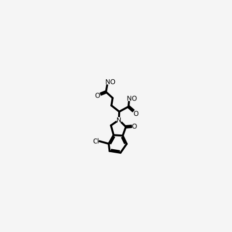 O=NC(=O)CCC(C(=O)N=O)N1Cc2c(Cl)cccc2C1=O